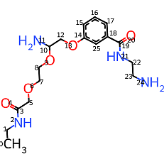 CCNC(=O)COCCOC(N)COc1cccc(C(=O)NCCN)c1